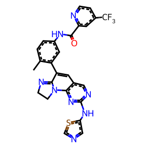 Cc1ccc(NC(=O)c2cc(C(F)(F)F)ccn2)cc1C1=Cc2cnc(Nc3cncs3)nc2N2CCN=C12